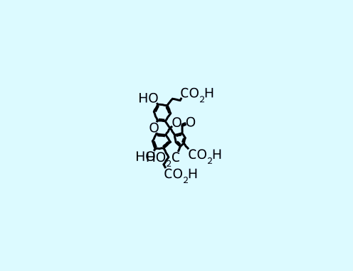 O=C(O)CCc1cc2c(cc1O)Oc1cc(O)c(CCC(=O)O)cc1C21OC(=O)c2cc(C(=O)O)c(C(=O)O)cc21